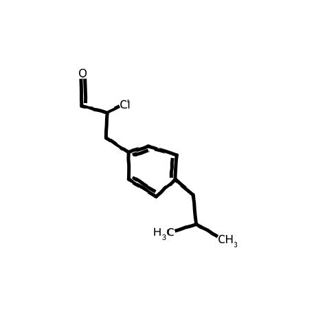 CC(C)Cc1ccc(CC(Cl)C=O)cc1